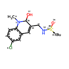 CN1c2ccc(Cl)cc2C=C(CN[S@@+]([O-])C(C)(C)C)C1O